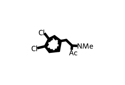 CNC(Cc1ccc(Cl)c(Cl)c1)C(C)=O